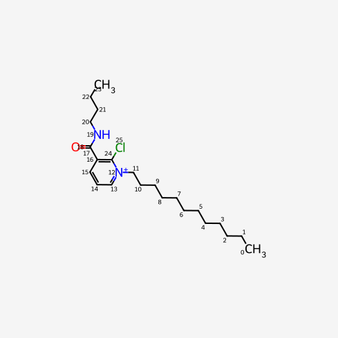 CCCCCCCCCCCC[n+]1cccc(C(=O)NCCCC)c1Cl